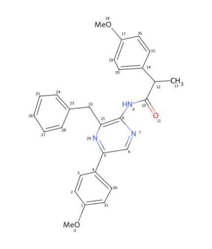 COc1ccc(-c2cnc(NC(=O)C(C)c3ccc(OC)cc3)c(Cc3ccccc3)n2)cc1